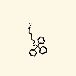 N#CC=CCCSC(c1ccccc1)(c1ccccc1)c1ccccc1